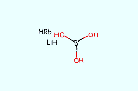 OB(O)O.[LiH].[RbH]